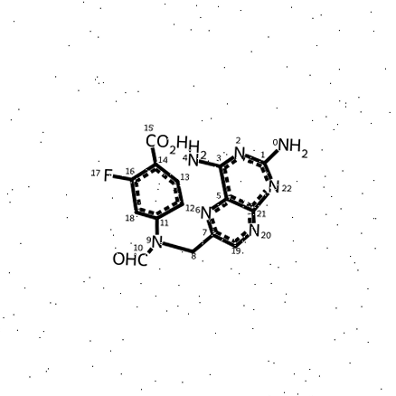 Nc1nc(N)c2nc(CN(C=O)c3ccc(C(=O)O)c(F)c3)cnc2n1